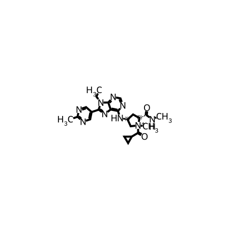 CCn1c(-c2cnc(C)nc2)nc2c(N[C@H]3C[C@H](C(=O)NC)[N+](C)(C(=O)C4CC4)C3)ncnc21